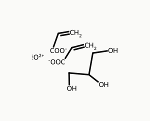 C=CC(=O)[O-].C=CC(=O)[O-].OCC(O)CO.[O+2]